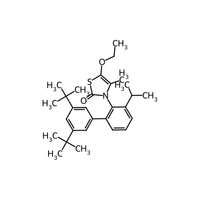 CCOc1sc(=O)n(-c2c(-c3cc(C(C)(C)C)cc(C(C)(C)C)c3)cccc2C(C)C)c1C